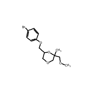 COCC1(C)COCC(COc2ccc(Br)cc2)O1